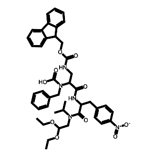 CCOC(CN(C(=O)C(Cc1ccc([N+](=O)[O-])cc1)NC(=O)C(CNC(=O)OCC1c2ccccc2-c2ccccc21)N(Cc1ccccc1)C(=O)O)C(C)C)OCC